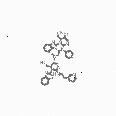 CN(C)CCN(C1=NC=C(Br)C(CC#N)N1c1nc2ccccc2s1)c1ccccc1.N#CCC1C=CN=C(NCCc2cccnc2)N1c1nc2ccccc2s1